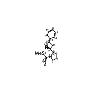 C/N=C(/SC)N1CCC[C@@H]1C1=NOC(C2C=CC=CC2)C1